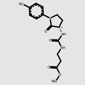 CC(C)(C)OC(=O)CCNC(=O)N[C@H]1CCN(c2ccc(C#N)cc2)C1=O